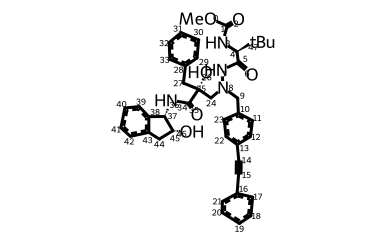 COC(=O)N[C@H](C(=O)NN(Cc1ccc(C#Cc2ccccc2)cc1)C[C@](O)(Cc1ccccc1)C(=O)N[C@H]1c2ccccc2C[C@H]1O)C(C)(C)C